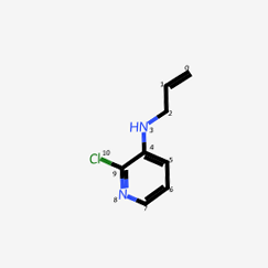 C=CCNc1cccnc1Cl